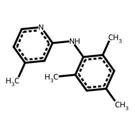 Cc1ccnc(Nc2c(C)cc(C)cc2C)c1